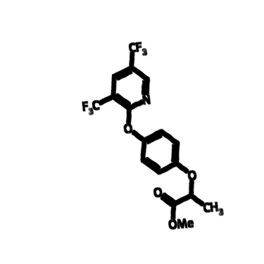 COC(=O)C(C)Oc1ccc(Oc2ncc(C(F)(F)F)cc2C(F)(F)F)cc1